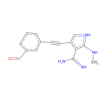 CNc1[nH]cc(C#Cc2cccc(C=O)c2)c1C(=N)N